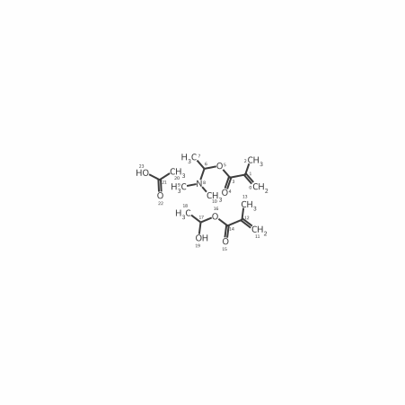 C=C(C)C(=O)OC(C)N(C)C.C=C(C)C(=O)OC(C)O.CC(=O)O